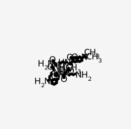 CCN(CC)c1ccc2cc(C(=O)NCCCC[C@H](NC(=O)[C@H](CCCCN)NC(=O)[C@H](Cc3ccccc3)NC(=O)[C@H](CCCCN)NC(C)=O)C(N)=O)c(=O)oc2c1